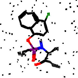 COC(=O)[C@H](C)NP(C)(=O)Oc1ccc(Cl)c2ccccc12